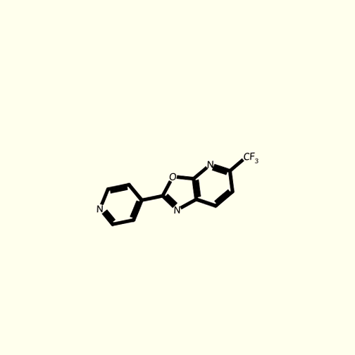 FC(F)(F)c1ccc2nc(-c3ccncc3)oc2n1